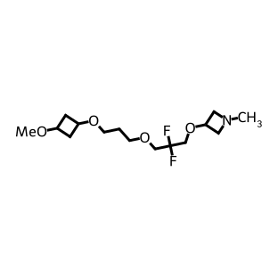 COC1CC(OCCCOCC(F)(F)COC2CN(C)C2)C1